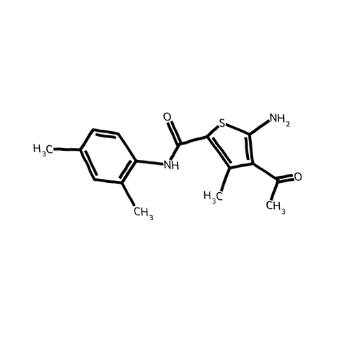 CC(=O)c1c(N)sc(C(=O)Nc2ccc(C)cc2C)c1C